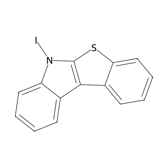 In1c2ccccc2c2c3ccccc3sc21